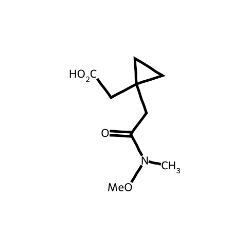 CON(C)C(=O)CC1(CC(=O)O)CC1